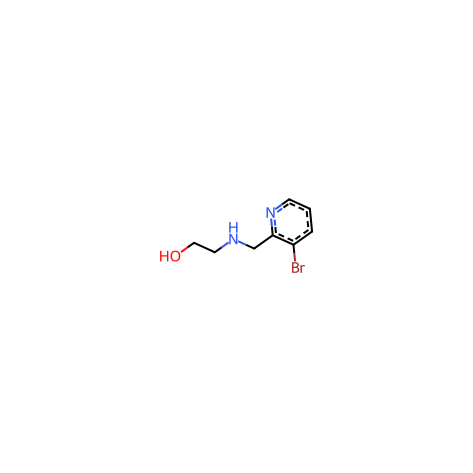 OCCNCc1ncccc1Br